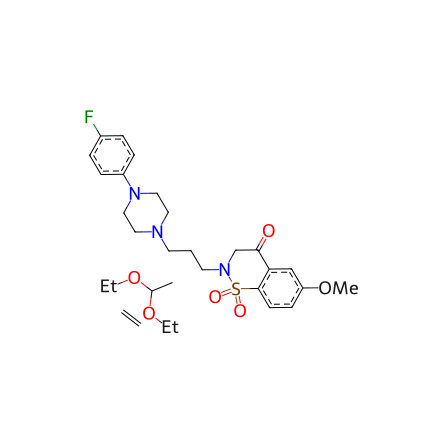 C=C.CCOC(C)OCC.COc1ccc2c(c1)C(=O)CN(CCCN1CCN(c3ccc(F)cc3)CC1)S2(=O)=O